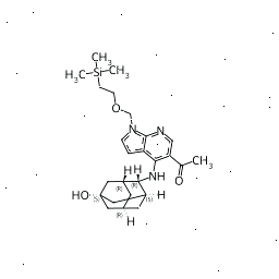 CC(=O)c1cnc2c(ccn2COCC[Si](C)(C)C)c1N[C@H]1[C@@H]2C[C@H]3C[C@H]1C[C@@](O)(C3)C2